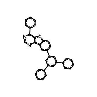 c1ccc(-c2cc(-c3ccccc3)cc(-c3ccc4sc5c(-c6ccccc6)ncnc5c4c3)c2)cc1